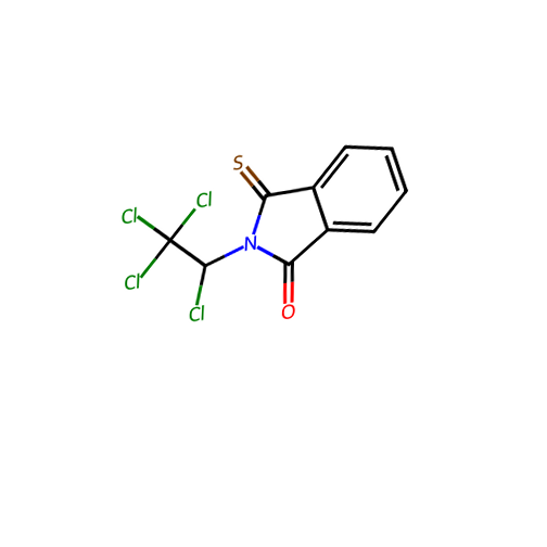 O=C1c2ccccc2C(=S)N1C(Cl)C(Cl)(Cl)Cl